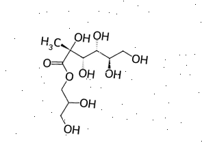 C[C@](O)(C(=O)OCC(O)CO)[C@@H](O)[C@H](O)[C@H](O)CO